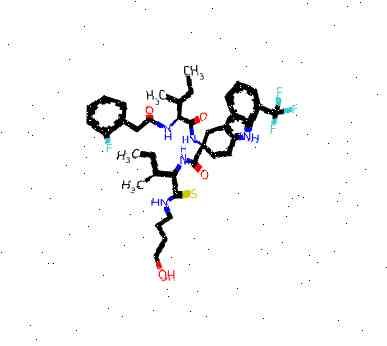 CCC(C)[C@H](NC(=O)Cc1ccccc1F)C(=O)N[C@]1(C(=O)NC(C(=S)NCCCCO)[C@@H](C)CC)CCc2[nH]c3c(C(F)(F)F)cccc3c2C1